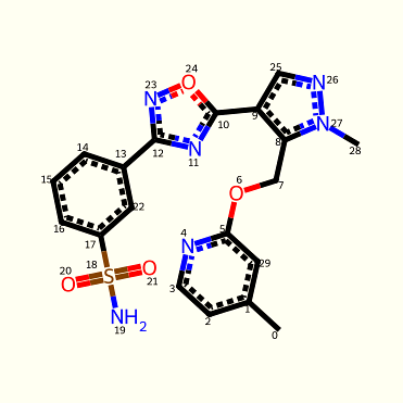 Cc1ccnc(OCc2c(-c3nc(-c4cccc(S(N)(=O)=O)c4)no3)cnn2C)c1